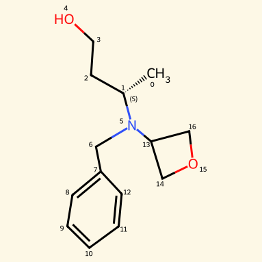 C[C@@H](CCO)N(Cc1ccccc1)C1COC1